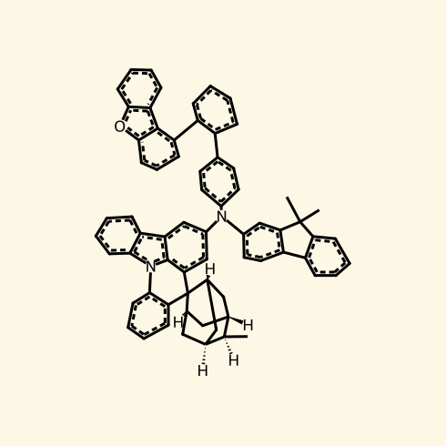 CC1(C)c2ccccc2-c2ccc(N(c3ccc(-c4ccccc4-c4cccc5oc6ccccc6c45)cc3)c3cc4c5c(c3)c3ccccc3n5-c3ccccc3C43[C@H]4C[C@@H]5C[C@@H]3C[C@H](C4)[C@H]5C)cc21